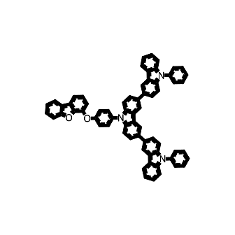 c1ccc(-n2c3ccccc3c3cc(-c4ccc5c(c4)c4cc(-c6ccc7c(c6)c6ccccc6n7-c6ccccc6)ccc4n5-c4ccc(Oc5cccc6c5oc5ccccc56)cc4)ccc32)cc1